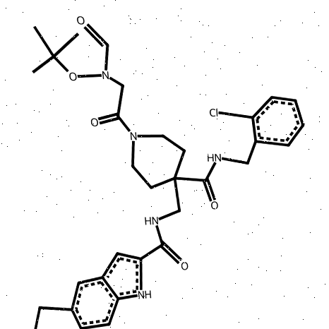 CCc1ccc2[nH]c(C(=O)NCC3(C(=O)NCc4ccccc4Cl)CCN(C(=O)CN(C=O)OC(C)(C)C)CC3)cc2c1